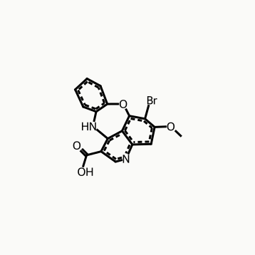 COc1cc2ncc(C(=O)O)c3c2c(c1Br)Oc1ccccc1N3